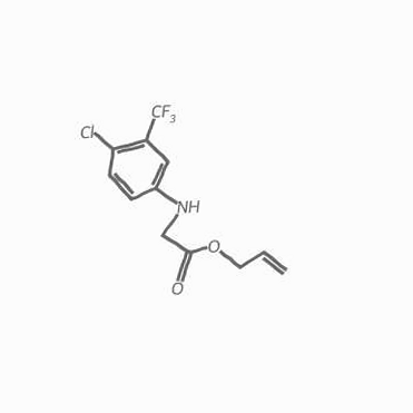 C=CCOC(=O)CNc1ccc(Cl)c(C(F)(F)F)c1